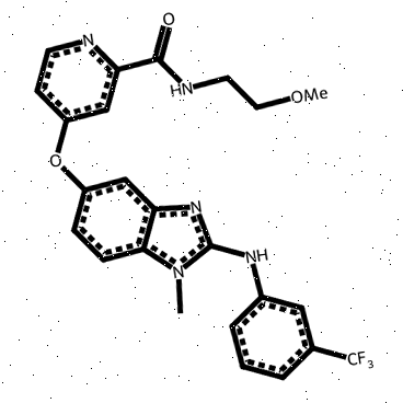 COCCNC(=O)c1cc(Oc2ccc3c(c2)nc(Nc2cccc(C(F)(F)F)c2)n3C)ccn1